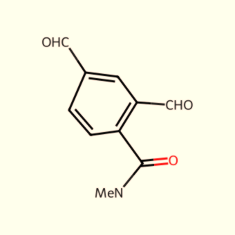 CNC(=O)c1ccc(C=O)cc1C=O